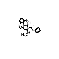 COC1=CC(=O)N(c2c(F)cccc2F)C(C)N1CCc1ccccc1